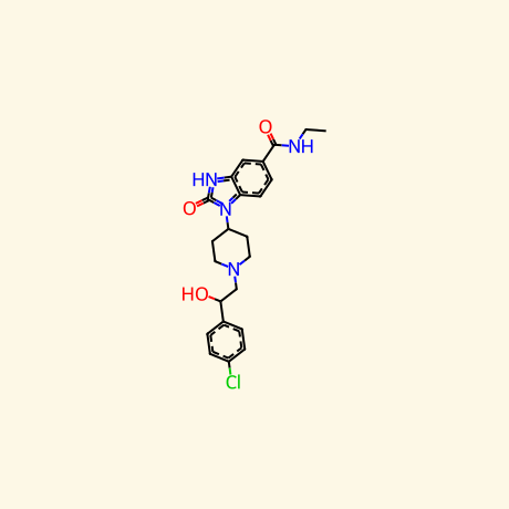 CCNC(=O)c1ccc2c(c1)[nH]c(=O)n2C1CCN(CC(O)c2ccc(Cl)cc2)CC1